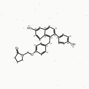 O=C1CCCN1COc1ccc(Cc2c(-c3ccc(O)cc3)ccc3cc(O)ccc23)cc1